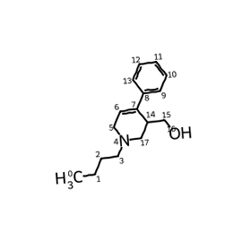 CCCCN1CC=C(c2ccccc2)C(CO)C1